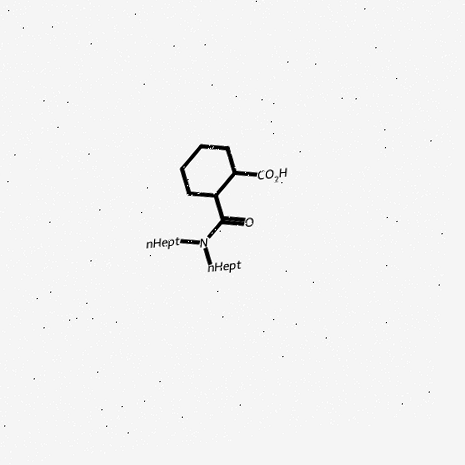 CCCCCCCN(CCCCCCC)C(=O)C1CCCCC1C(=O)O